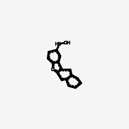 OBc1ccc2oc3cc4ccccc4cc3c2c1